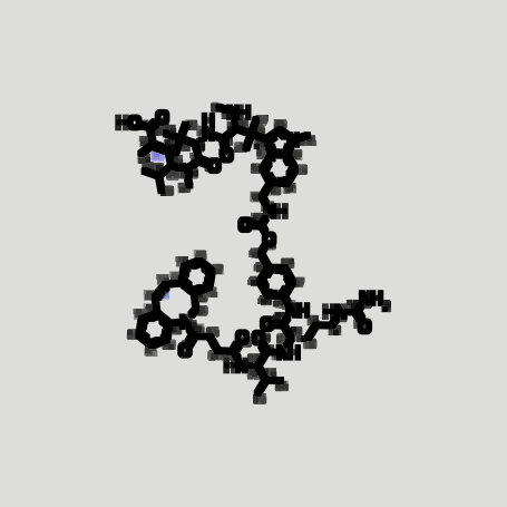 CN[C@H](C(=O)N[C@H](C(=O)N(C)[C@H](/C=C(\C)C(=O)O)C(C)C)C(C)(C)C)C(C)(C)c1cn(C)c2ccc(CNC(=O)OCc3ccc(NC(=O)[C@H](CCCNC(N)=O)NC(=O)[C@@H](NC(=O)CCC(=O)N4Cc5ccccc5/C=C\c5ccccc54)C(C)C)cc3)cc12